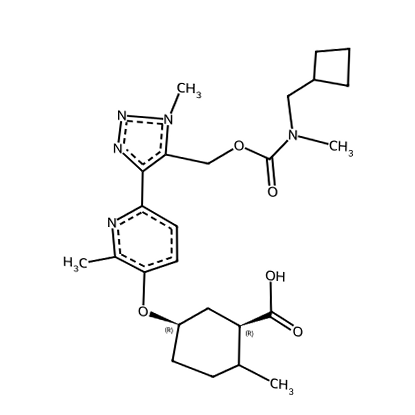 Cc1nc(-c2nnn(C)c2COC(=O)N(C)CC2CCC2)ccc1O[C@@H]1CCC(C)[C@H](C(=O)O)C1